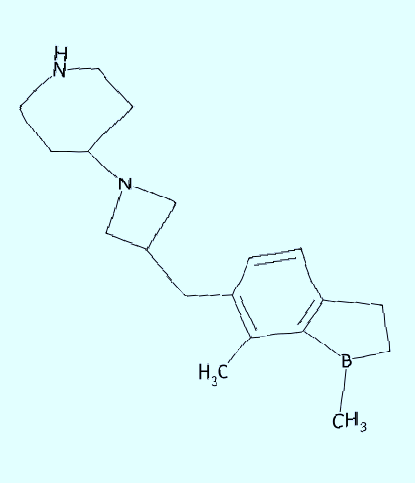 CB1CCc2ccc(CC3CN(C4CCNCC4)C3)c(C)c21